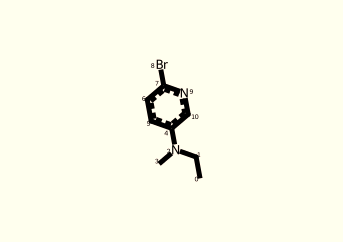 CCN(C)c1ccc(Br)nc1